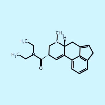 CCN(CC)C(=O)[C@H]1C=C2c3cccc4c3C(=CC4)C[C@H]2N(C)C1